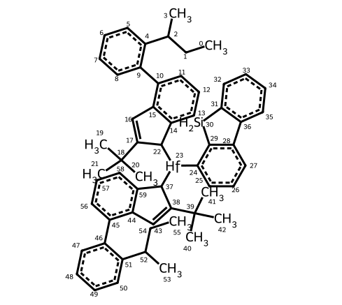 CCC(C)c1ccccc1-c1cccc2c1C=C(C(C)(C)C)[CH]2[Hf]([c]1cccc2c1[SiH2]c1ccccc1-2)[CH]1C(C(C)(C)C)=Cc2c(-c3ccccc3C(C)CC)cccc21